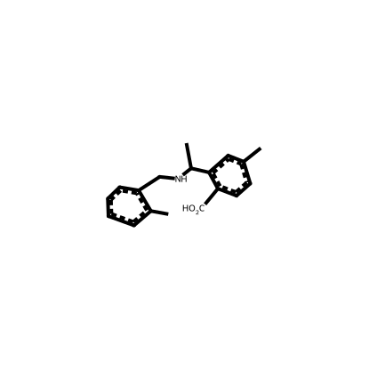 Cc1ccc(C(=O)O)c(C(C)NCc2ccccc2C)c1